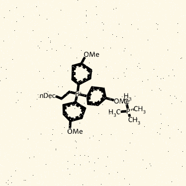 CCCCCCCCCCCC[B-](c1ccc(OC)cc1)(c1ccc(OC)cc1)c1ccc(OC)cc1.C[P+](C)(C)C